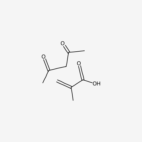 C=C(C)C(=O)O.CC(=O)CC(C)=O